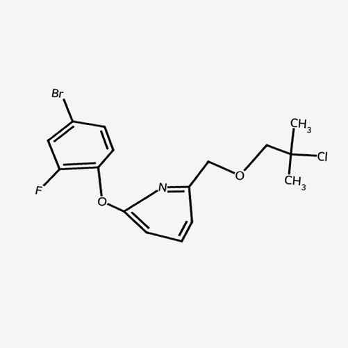 CC(C)(Cl)COCc1cccc(Oc2ccc(Br)cc2F)n1